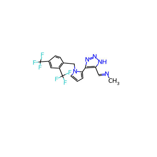 C/N=C/c1[nH]nnc1-c1cccn1Cc1ccc(C(F)(F)F)cc1C(F)(F)F